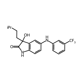 CC(C)CCC1(O)C(=O)Nc2ccc(Nc3cccc(C(F)(F)F)c3)cc21